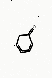 O=C1C=C=C=CC1